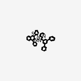 c1ccc(-c2cc(-c3ccccc3)cc(-c3nc(-n4c5ccccc5c5c6ccccc6c6sc7ccccc7c6c54)nc4cccnc34)c2)cc1